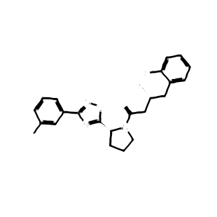 Cl.N[C@@H](CC(=O)N1CCC[C@H]1c1nc(-c2cccc(Cl)c2)no1)Cc1ccccc1F